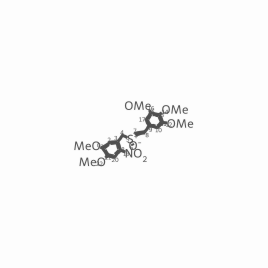 COc1cc(C[S+]([O-])C=Cc2cc(OC)c(OC)c(OC)c2)c([N+](=O)[O-])cc1OC